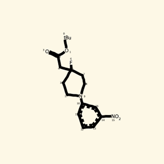 CC(C)(C)OC(=O)CC1(F)CCN(c2cccc([N+](=O)[O-])c2)CC1